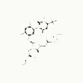 CCOC(=O)CN1C(=O)C(CC(=O)NS(=O)(=O)CC)S/C1=N\c1cc(-n2c(=O)cc(C(F)(F)F)n(C)c2=O)c(F)cc1Cl